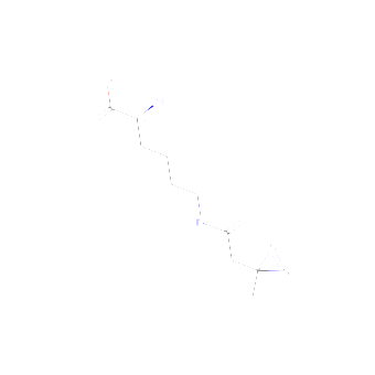 CC1(CC(=O)NCCCC[C@H](N)C(=O)O)N=N1